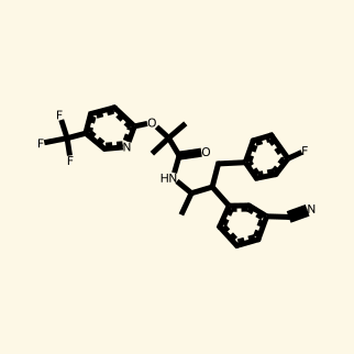 CC(NC(=O)C(C)(C)Oc1ccc(C(F)(F)F)cn1)C(Cc1ccc(F)cc1)c1cccc(C#N)c1